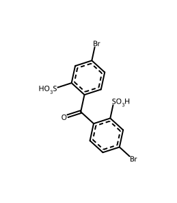 O=C(c1ccc(Br)cc1S(=O)(=O)O)c1ccc(Br)cc1S(=O)(=O)O